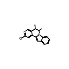 CC1c2cnc(Cl)cc2-c2cc3ccccc3n2C1F